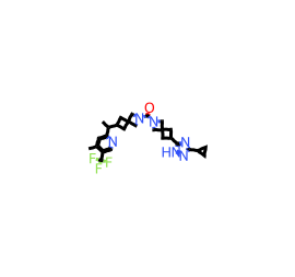 Cc1cc(C(C)C2CC3(C2)CN(C(=O)N2CC4(CC(c5nc(C6CC6)n[nH]5)C4)C2)C3)ncc1C(F)(F)F